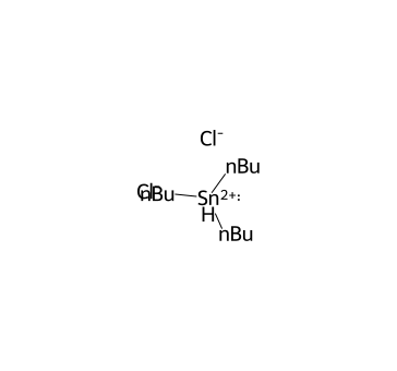 CCC[CH2][SnH+2]([CH2]CCC)[CH2]CCC.[Cl-].[Cl-]